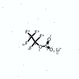 O=[S-](=O)OC(F)(F)C(F)(F)F.[Li+]